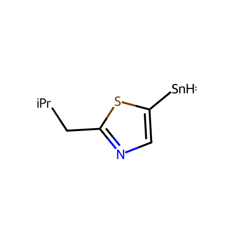 CC(C)Cc1nc[c]([SnH])s1